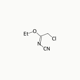 CCOC(CCl)=NC#N